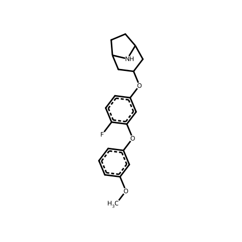 COc1cccc(Oc2cc(OC3CC4CCC(C3)N4)ccc2F)c1